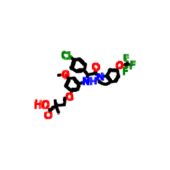 COc1cc(NC(C(=O)N2CCc3ccc(OC(F)(F)F)cc32)c2ccc(Cl)cc2)cc(OCCC(C)(C)C(=O)O)c1